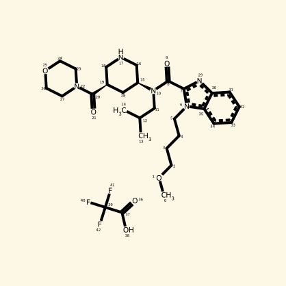 COCCCCn1c(C(=O)N(CC(C)C)[C@@H]2CNC[C@H](C(=O)N3CCOCC3)C2)nc2ccccc21.O=C(O)C(F)(F)F